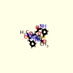 CNC(=O)[C@H](Cc1ccccc1)NC(=O)[C@H](CCC(=O)C=N)[N+](=[SiH2])C(=O)[SH](Cc1ccccc1)NC(C)=O